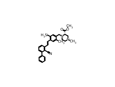 COC(=O)[C@@H]1CN(C)CCN1Cc1cc([SiH3])c(/C=C/c2cccc(-c3ccccc3)c2C#N)cc1C